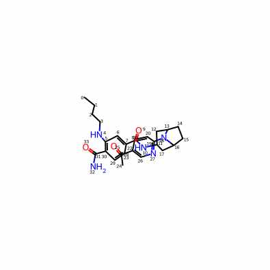 CCCCNc1cc(C(=O)NC2CC3CCC(C2)N3c2ccc(C(C)=O)cn2)ccc1C(N)=O